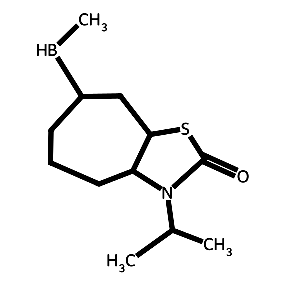 CBC1CCCC2C(C1)SC(=O)N2C(C)C